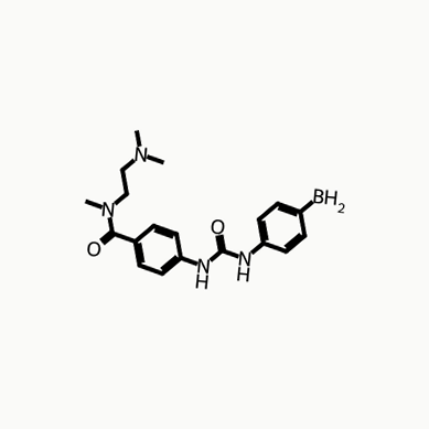 Bc1ccc(NC(=O)Nc2ccc(C(=O)N(C)CCN(C)C)cc2)cc1